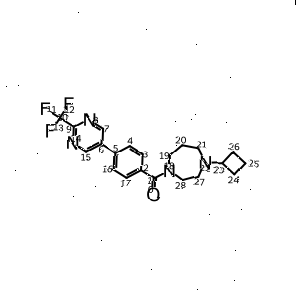 O=C(c1ccc(-c2cnc(C(F)(F)F)nc2)cc1)N1CCCN(C2CCC2)CC1